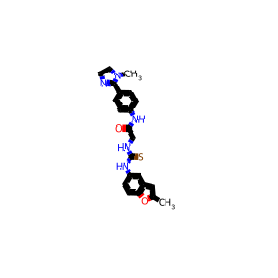 Cc1cc2cc(NC(=S)NCC(=O)Nc3ccc(C4=NCCN4C)cc3)ccc2o1